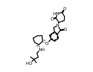 CC(C)(O)CCN[C@@H]1CCCC[C@@H]1Oc1ccc2c(c1)CN(C1CCC(=O)NC1=O)C2=O